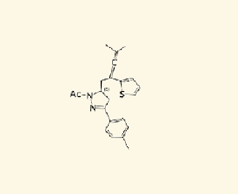 CC(=O)N1N=C(c2ccc(C)cc2)C[C@@H]1CC(=C=C(C)C)c1cccs1